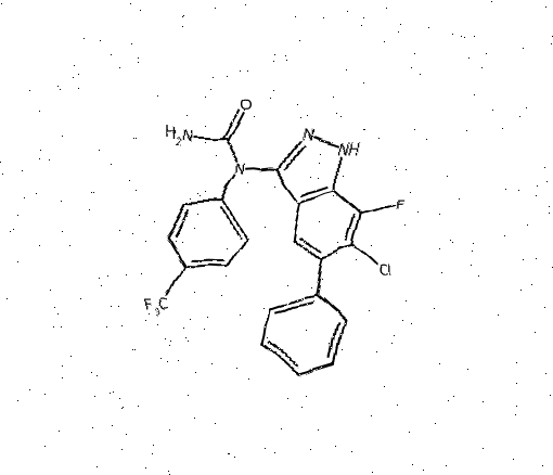 NC(=O)N(c1ccc(C(F)(F)F)cc1)c1n[nH]c2c(F)c(Cl)c(-c3ccccc3)cc12